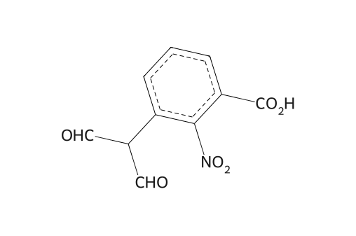 O=CC(C=O)c1cccc(C(=O)O)c1[N+](=O)[O-]